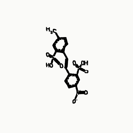 Cc1ccc(/C=C/c2ccc([N+](=O)[O-])cc2S(=O)(=O)O)c(S(=O)(=O)O)c1